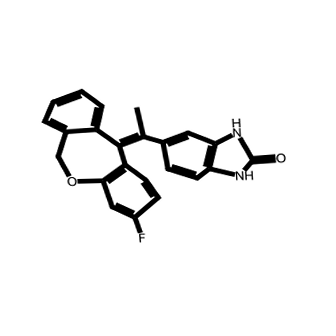 C/C(=C1\c2ccccc2COc2cc(F)ccc21)c1ccc2[nH]c(=O)[nH]c2c1